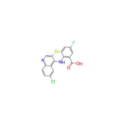 O=C(O)c1cc(F)ccc1Nc1c(S)cnc2ccc(Cl)cc12